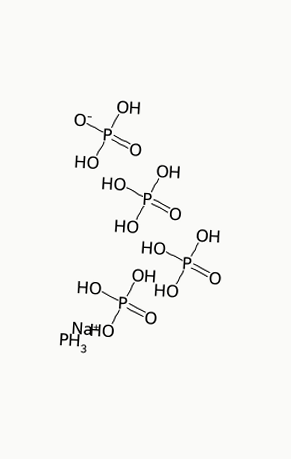 O=P(O)(O)O.O=P(O)(O)O.O=P(O)(O)O.O=P([O-])(O)O.P.[Na+]